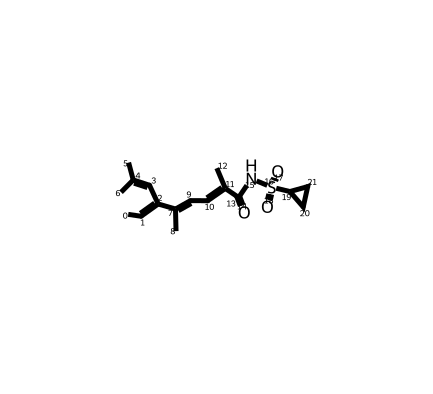 C/C=C(C=C(C)C)/C(C)=C/C=C(\C)C(=O)NS(=O)(=O)C1CC1